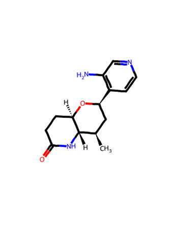 C[C@@H]1C[C@H](c2ccncc2N)O[C@@H]2CCC(=O)N[C@@H]12